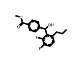 CCCc1ccc(F)c(F)c1C(O)c1ccc(C(=O)OC)cc1